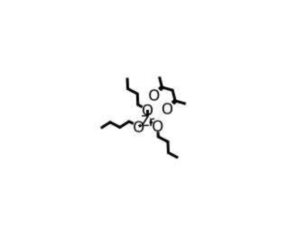 CC(=O)CC(C)=O.CCCC[O][Zr]([O]CCCC)[O]CCCC